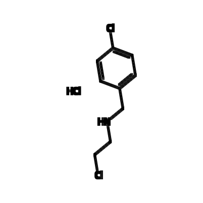 Cl.ClCCNCc1ccc(Cl)cc1